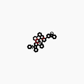 c1ccc(-n2c3ccccc3c3c(-c4ccccc4N(c4ccc(-c5ccc6oc7ccccc7c6c5)cc4)c4ccccc4-c4cccc5cccc(C6CCCCC6)c45)cccc32)cc1